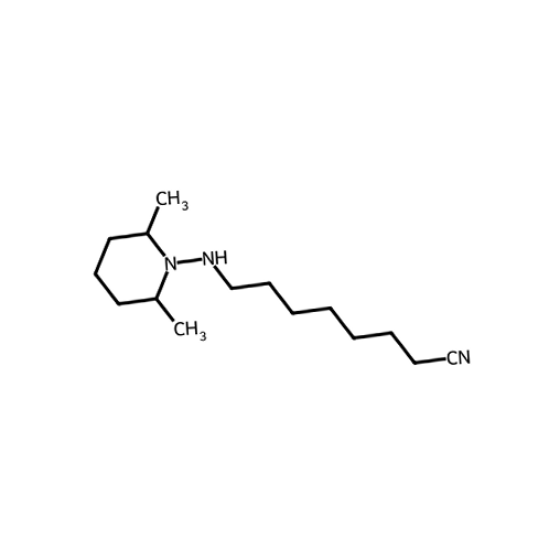 CC1CCCC(C)N1NCCCCCCCC#N